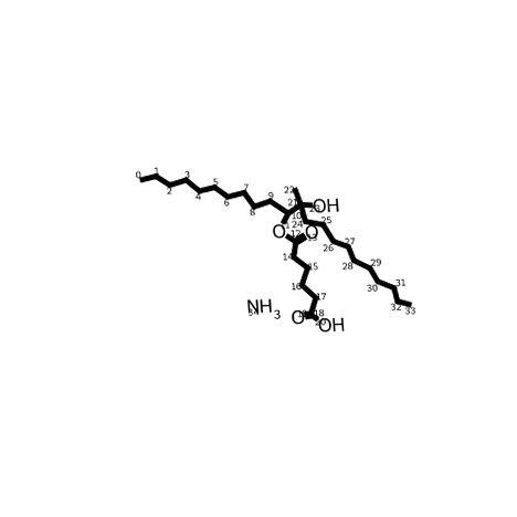 CCCCCCCCCCC(OC(=O)CCCCC(=O)O)C(C)(O)CCCCCCCCCC.N